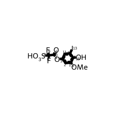 COc1cc(OC(=O)C(F)(F)S(=O)(=O)O)cc(I)c1O